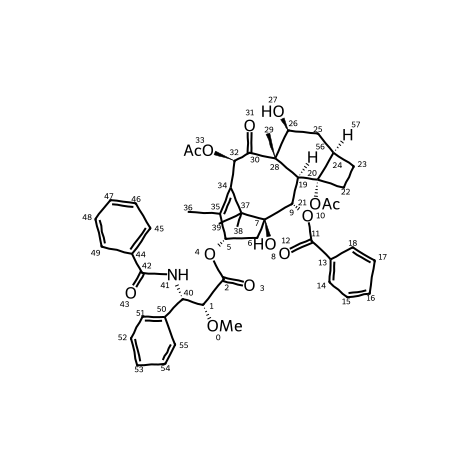 CO[C@@H](C(=O)O[C@H]1C[C@@]2(O)[C@@H](OC(=O)c3ccccc3)[C@@H]3[C@]4(OC(C)=O)CC[C@@H]4C[C@H](O)[C@@]3(C)C(=O)[C@H](OC(C)=O)C(=C1C)C2(C)C)[C@@H](NC(=O)c1ccccc1)c1ccccc1